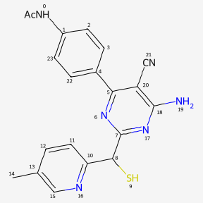 CC(=O)Nc1ccc(-c2nc(C(S)c3ccc(C)cn3)nc(N)c2C#N)cc1